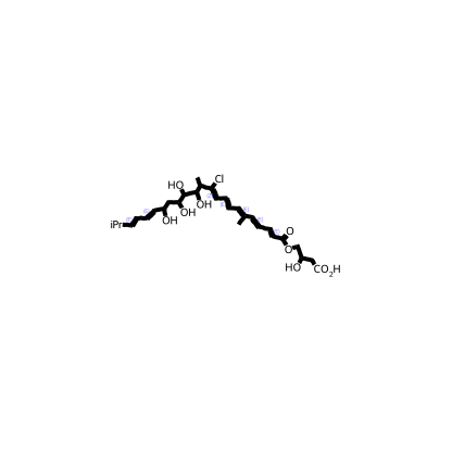 CC(/C=C/C=C/C(=O)OCC(O)CC(=O)O)=C\C=C\C=C(/Cl)C(C)C(O)C(O)C(O)CC(O)/C=C/C=C/C(C)C